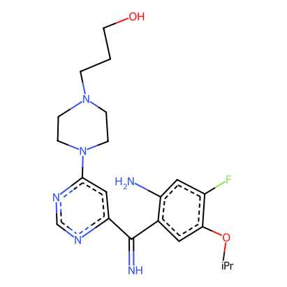 CC(C)Oc1cc(C(=N)c2cc(N3CCN(CCCO)CC3)ncn2)c(N)cc1F